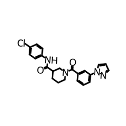 O=C(Nc1ccc(Cl)cc1)C1CCCN(C(=O)c2cccc(-n3cccn3)c2)C1